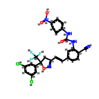 N#Cc1ccc(/C=C/C2=NOC(c3cc(Cl)cc(Cl)c3)(C(F)(F)F)C2)cc1NC(=O)Nc1ccc([N+](=O)[O-])cc1